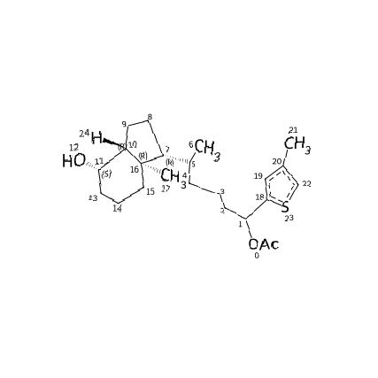 CC(=O)OC(CCCC(C)[C@H]1CC[C@H]2[C@@H](O)CCC[C@]12C)c1cc(C)cs1